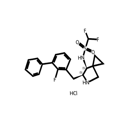 Cl.O=S(=O)(N[C@@H]1[C@H](Cc2cccc(-c3ccccc3)c2F)NCC12CC2)C(F)F